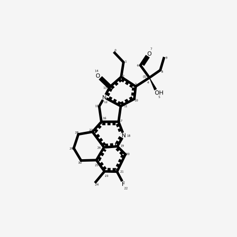 CCc1c([C@](O)(C=O)CC)cc2n(c1=O)Cc1c-2nc2cc(F)c(C)c3c2c1CCC3